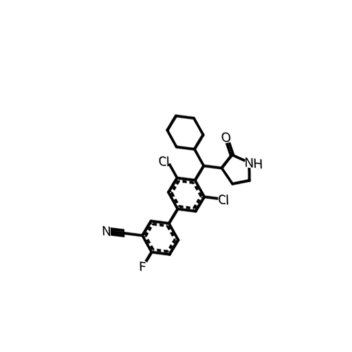 N#Cc1cc(-c2cc(Cl)c(C(C3CCCCC3)C3CCNC3=O)c(Cl)c2)ccc1F